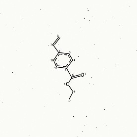 C=[C]c1ccc(C(=O)OCC)cc1